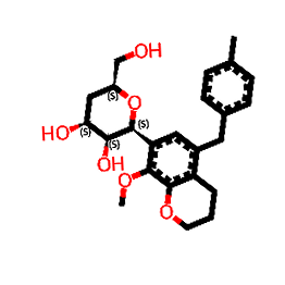 COc1c([C@@H]2O[C@H](CO)C[C@H](O)[C@@H]2O)cc(Cc2ccc(C)cc2)c2c1OCCC2